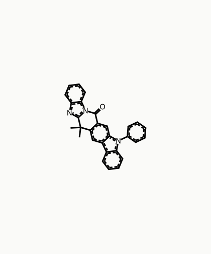 CC1(C)c2cc3c4ccccc4n(-c4ccccc4)c3cc2C(=O)n2c1nc1ccccc12